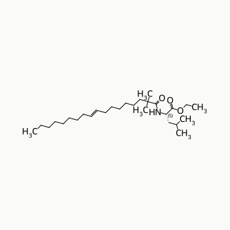 CCCCCCCCC=CCCCCCCC(C)(C)C(=O)N[C@@H](CC(C)C)C(=O)OCC